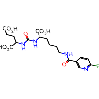 O=C(O)CCC(NC(=O)N[C@@H](CCCCNC(=O)c1ccc(F)nc1)C(=O)O)C(=O)O